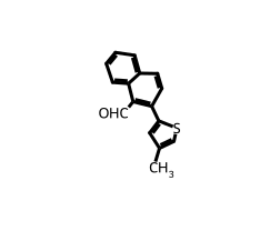 Cc1csc(-c2ccc3ccccc3c2C=O)c1